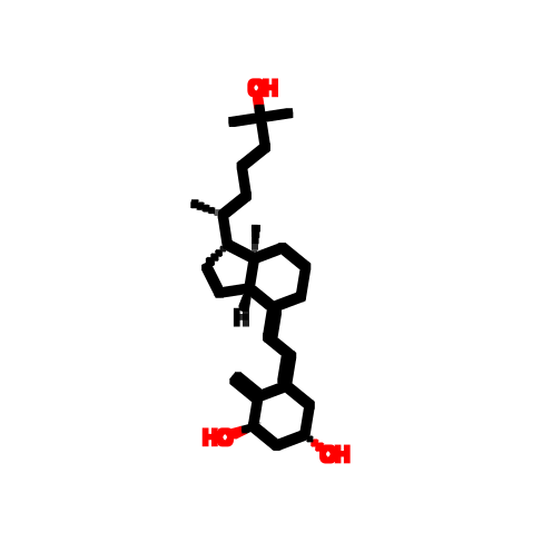 C=C1/C(=C\C=C2/CCC[C@]3(C)[C@@H]([C@H](C)CCCC(C)(C)O)CC[C@@H]23)C[C@H](O)C[C@H]1O